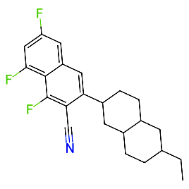 CCC1CCC2CC(c3cc4cc(F)cc(F)c4c(F)c3C#N)CCC2C1